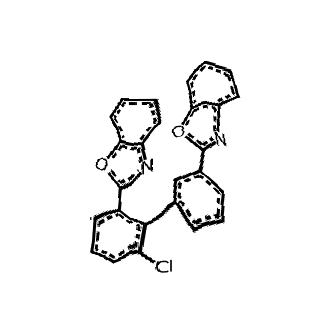 Clc1cc[c]c(-c2nc3ccccc3o2)c1-c1cccc(-c2nc3ccccc3o2)c1